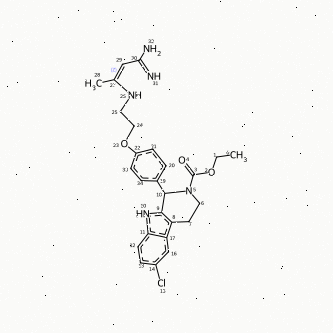 CCOC(=O)N1CCc2c([nH]c3ccc(Cl)cc23)C1c1ccc(OCCN/C(C)=C\C(=N)N)cc1